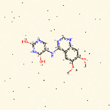 COc1cc2ncnc(Nc3cnc(O)nc3O)c2cc1OC